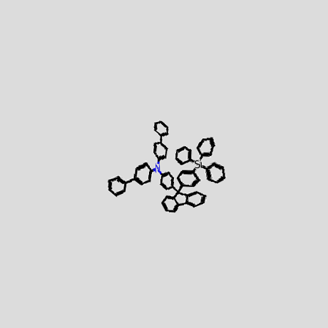 c1ccc(-c2ccc(N(c3ccc(-c4ccccc4)cc3)c3ccc(C4(c5ccc([Si](c6ccccc6)(c6ccccc6)c6ccccc6)cc5)c5ccccc5-c5ccccc54)cc3)cc2)cc1